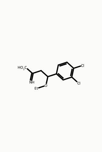 CCOC(CC(=N)C(=O)O)c1ccc(Cl)c(Cl)c1